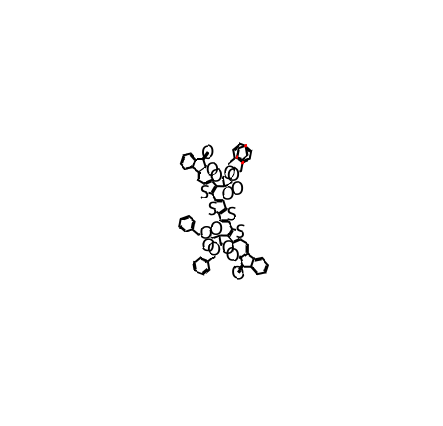 O=C1C(=O)c2ccccc2/C1=C/c1cc2c(s1)-c1sc3c4c(sc3c1OC2(C(=O)OCc1ccccc1)C(=O)OCc1ccccc1)-c1sc(/C=C2\C(=O)C(=O)c3ccccc32)cc1C(C(=O)OCc1ccccc1)(C(=O)OCc1ccccc1)O4